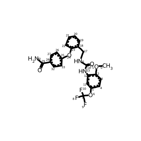 COc1ccc(OC(F)(F)F)cc1NC(=O)NCc1ccccc1Oc1ccc(C(N)=O)cc1